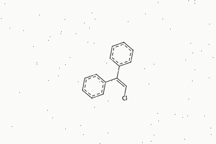 ClC=C(c1ccccc1)c1ccccc1